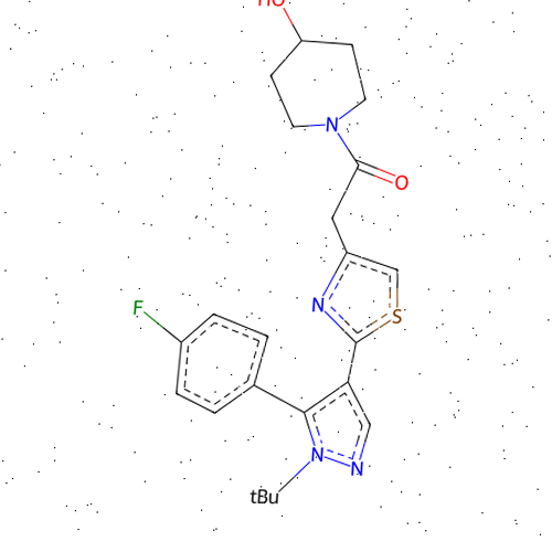 CC(C)(C)n1ncc(-c2nc(CC(=O)N3CCC(O)CC3)cs2)c1-c1ccc(F)cc1